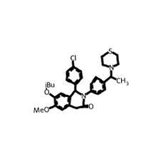 CC[C@@H](C)Oc1cc2c(cc1OC)CC(=O)N(c1ccc(C(C)N3CCSCC3)cc1)C2c1ccc(Cl)cc1